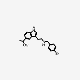 CC(O)c1ccc2[nH]cc(CCNCc3ccc(Br)cc3)c2c1